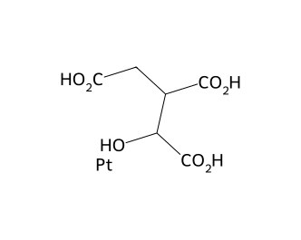 O=C(O)CC(C(=O)O)C(O)C(=O)O.[Pt]